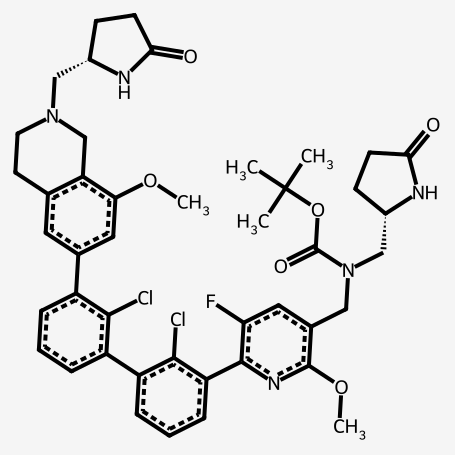 COc1cc(-c2cccc(-c3cccc(-c4nc(OC)c(CN(C[C@@H]5CCC(=O)N5)C(=O)OC(C)(C)C)cc4F)c3Cl)c2Cl)cc2c1CN(C[C@@H]1CCC(=O)N1)CC2